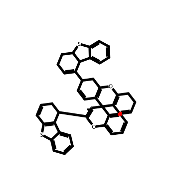 C1=CC2=C(CC1)OC1=C(C=CC(C3=CCCC4Sc5ccccc5C34)C1)C21C2=C(CC(C3CC=Cc4sc5ccccc5c43)C=C2)Oc2ccccc21